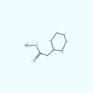 CC(C)(C)OC(=O)CC1[CH]CCCC1